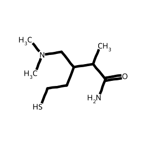 CC(C(N)=O)C(CCS)CN(C)C